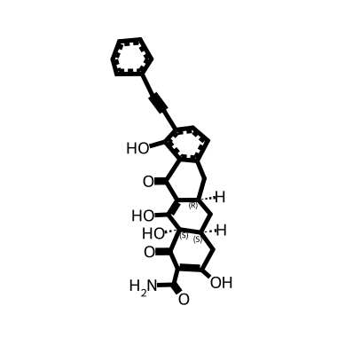 NC(=O)C1=C(O)C[C@@H]2C[C@@H]3Cc4ccc(C#Cc5ccccc5)c(O)c4C(=O)C3=C(O)[C@]2(O)C1=O